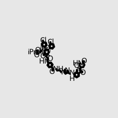 CC(C)C(CS(=O)(=O)C(C)C)N1C(=O)[C@@](C)(CC(=O)Nc2ccc(C(=O)NCCCn3cnc(CNc4cccc5c4CN(C4CCC(=O)NC4=O)C5=O)c3)cc2)C[C@H](c2cccc(Cl)c2)[C@H]1c1ccc(Cl)cc1